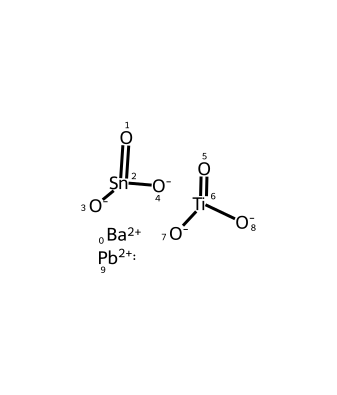 [Ba+2].[O]=[Sn]([O-])[O-].[O]=[Ti]([O-])[O-].[Pb+2]